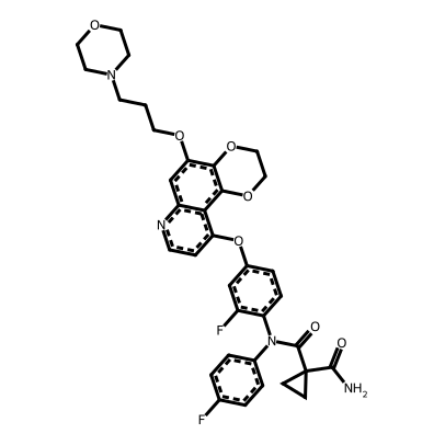 NC(=O)C1(C(=O)N(c2ccc(F)cc2)c2ccc(Oc3ccnc4cc(OCCCN5CCOCC5)c5c(c34)OCCO5)cc2F)CC1